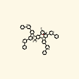 Fc1cc(F)cc(-c2cc(-n3c4ccc(-c5ccnc(-c6ccccc6)c5)cc4c4cc(-c5ccnc(-c6ccccc6)c5)ccc43)c(C(F)(F)F)cc2-n2c3ccc(-c4ccnc(-c5ccccc5)c4)cc3c3cc(-c4ccnc(-c5ccccc5)c4)ccc32)c1